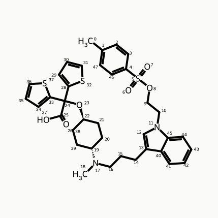 Cc1ccc(S(=O)(=O)OCCn2cc(CCCN(C)[C@H]3CC[C@H](OC(C(=O)O)(c4cccs4)c4cccs4)CC3)c3ccccc32)cc1